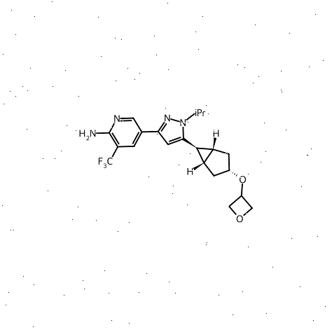 CC(C)n1nc(-c2cnc(N)c(C(F)(F)F)c2)cc1[C@H]1[C@@H]2C[C@H](OC3COC3)C[C@@H]21